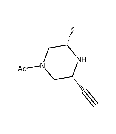 C#C[C@@H]1CN(C(C)=O)C[C@H](C)N1